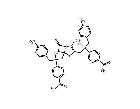 NC(=O)c1ccc([C@@](O)(CC2=C(C(=O)O)N3C(=O)CC3(C[C@@](O)(Cc3ccc([N+](=O)[O-])cc3)c3ccc(C(N)=O)cc3)S2)Cc2ccc([N+](=O)[O-])cc2)cc1